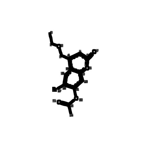 CCOCc1cc(=O)oc2cc(OC(C)=O)c(Br)cc12